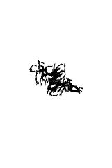 O=C(Nc1ccc(F)cc1F)c1cc(NC(=O)C2C(c3cc(F)c(Cl)c(Cl)c3)C2(Cl)Cl)ccc1Cl